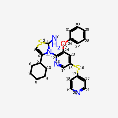 NC1SC=C(C2CCCCC2)N1c1ncc(Sc2ccncc2)cc1Oc1ccccc1